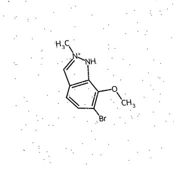 COc1c(Br)ccc2c[n+](C)[nH]c12